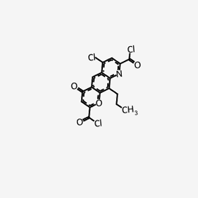 CCCc1c2nc(C(=O)Cl)cc(Cl)c2cc2c(=O)cc(C(=O)Cl)oc12